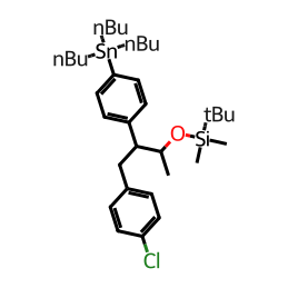 CCC[CH2][Sn]([CH2]CCC)([CH2]CCC)[c]1ccc(C(Cc2ccc(Cl)cc2)C(C)O[Si](C)(C)C(C)(C)C)cc1